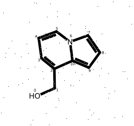 OCc1cccn2cccc12